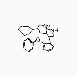 c1ccc(Oc2ccccc2C2CNC3NCC(C4CCCCC4)CC32)cc1